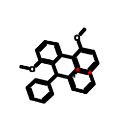 COc1cccc(I)c1-c1cccc(OC)c1C(c1ccccc1)c1ccccc1